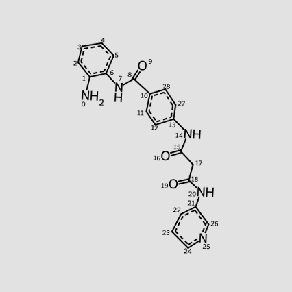 Nc1ccccc1NC(=O)c1ccc(NC(=O)CC(=O)Nc2cccnc2)cc1